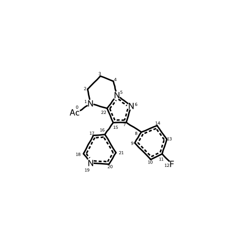 CC(=O)N1CCCn2nc(-c3ccc(F)cc3)c(-c3ccncc3)c21